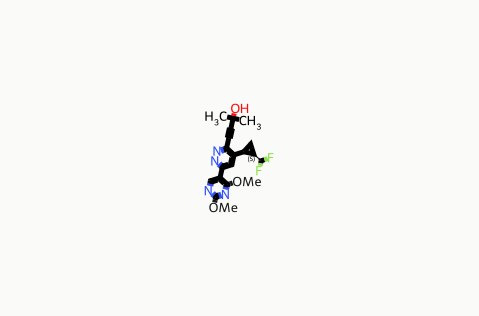 COc1ncc(-c2cc(C3C[C@@H]3C(F)F)c(C#CC(C)(C)O)nn2)c(OC)n1